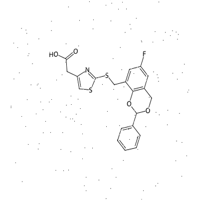 O=C(O)Cc1csc(SCc2cc(F)cc3c2OC(c2ccccc2)OC3)n1